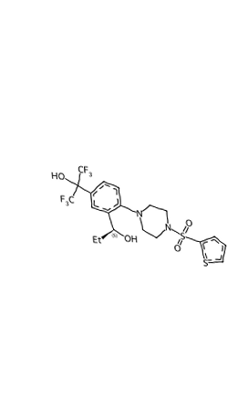 CC[C@H](O)c1cc(C(O)(C(F)(F)F)C(F)(F)F)ccc1N1CCN(S(=O)(=O)c2cccs2)CC1